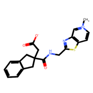 C[n+]1ccc2sc(CNC(=O)C3(CC(=O)[O-])Cc4ccccc4C3)nc2c1